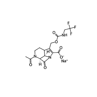 CC(=O)N1CCC2C(COC(=O)NCC(F)(F)F)=C(C(=O)[O-])N3C(=O)[C@@H]1[C@@H]23.[Na+]